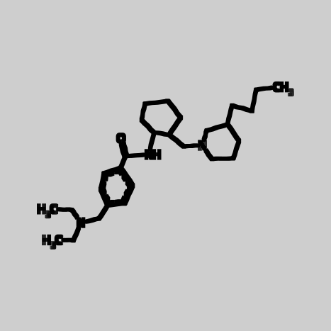 CCCCC1CCCN(CC2CCCCC2NC(=O)c2ccc(CN(CC)CC)cc2)C1